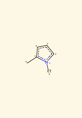 [CH2]Cn1cccc1C